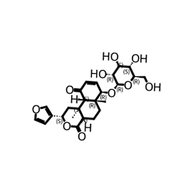 C[C@@]12C[C@@H](c3ccoc3)OC(=O)[C@@H]1CC[C@]1(C)[C@H]2C(=O)C=C[C@H]1O[C@@H]1O[C@H](CO)[C@@H](O)[C@H](O)[C@H]1O